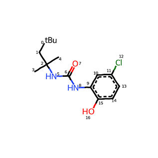 CC(C)(C)CC(C)(C)NC(=O)Nc1cc(Cl)ccc1O